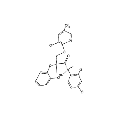 CC(COc1ncc(C(F)(F)F)cc1Cl)(Oc1ccccc1Cl)C(=O)C(C)(C#N)c1ccc(Cl)cc1Cl